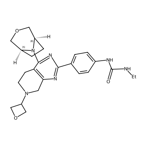 CCNC(=O)Nc1ccc(-c2nc3c(c(N4[C@@H]5CC[C@H]4COC5)n2)CCN(C2COC2)C3)cc1